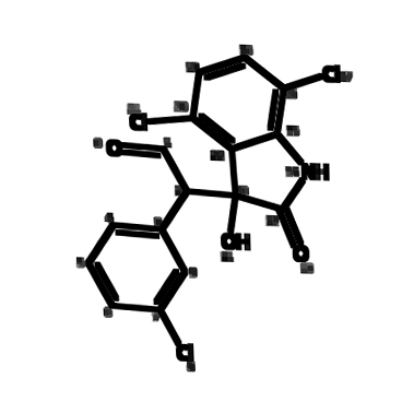 O=CC(c1cccc(Cl)c1)C1(O)C(=O)Nc2c(Cl)ccc(Cl)c21